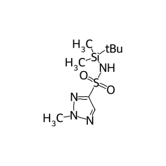 Cn1ncc(S(=O)(=O)N[Si](C)(C)C(C)(C)C)n1